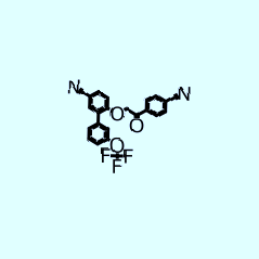 N#Cc1ccc(C(=O)COc2ccc(C#N)cc2-c2cccc(OC(F)(F)F)c2)cc1